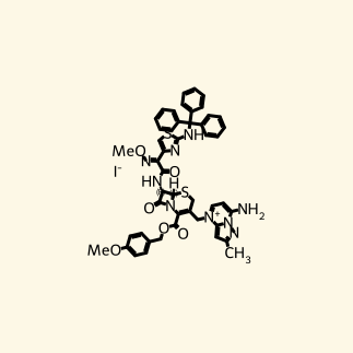 CON=C(C(=O)N[C@@H]1C(=O)N2C(C(=O)OCc3ccc(OC)cc3)=C(C[n+]3ccc(N)n4nc(C)cc43)CS[C@@H]12)c1csc(NC(c2ccccc2)(c2ccccc2)c2ccccc2)n1.[I-]